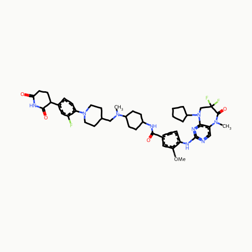 COc1cc(C(=O)NC2CCC(N(C)CC3CCN(c4ccc(C5CCC(=O)NC5=O)cc4F)CC3)CC2)ccc1Nc1ncc2c(n1)N(C1CCCC1)CC(F)(F)C(=O)N2C